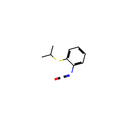 CC(C)Sc1ccccc1N=C=O